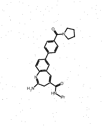 CC(C)NC(=O)C1=Cc2cc(-c3ccc(C(=O)N4CCCC4)cc3)ccc2N=C(N)C1